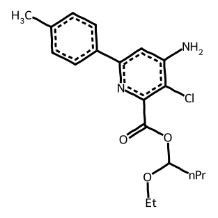 CCCC(OCC)OC(=O)c1nc(-c2ccc(C)cc2)cc(N)c1Cl